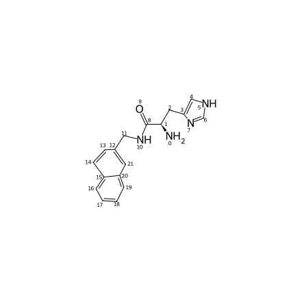 N[C@H](Cc1c[nH]cn1)C(=O)NCc1ccc2ccccc2c1